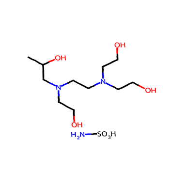 CC(O)CN(CCO)CCN(CCO)CCO.NS(=O)(=O)O